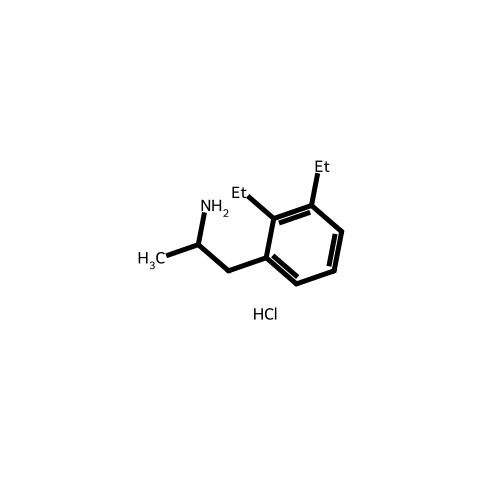 CCc1cccc(CC(C)N)c1CC.Cl